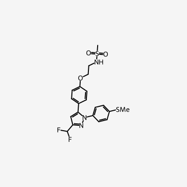 CSc1ccc(-n2nc(C(F)F)cc2-c2ccc(OCCNS(C)(=O)=O)cc2)cc1